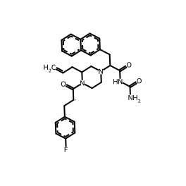 C=CCC1CN(C(Cc2ccc3ccccc3c2)C(=O)NC(N)=O)CCN1C(=O)[CH]Cc1ccc(F)cc1